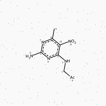 CC(=O)CNc1nc(N)nc(C)c1[N+](=O)[O-]